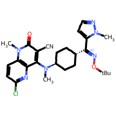 Cn1nccc1/C(=N/OC(C)(C)C)[C@H]1CC[C@H](N(C)c2c(C#N)c(=O)n(C)c3ccc(Cl)nc23)CC1